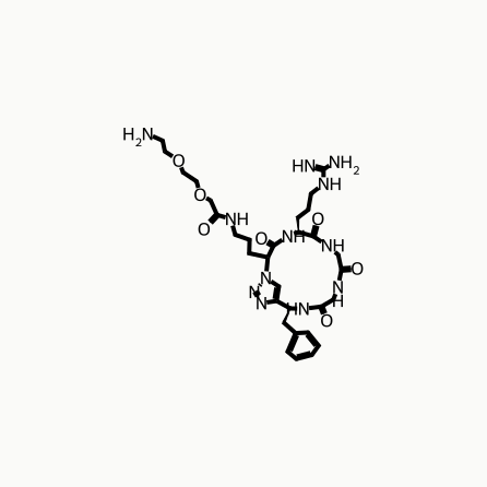 N=C(N)NCCC[C@@H]1NC(=O)C(CCCNC(=O)COCCOCCN)n2cc(nn2)[C@H](Cc2ccccc2)NC(=O)CNC(=O)CNC1=O